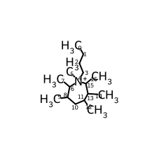 CCCC[N+]1(C)C(C)C(C)CC(C)C(C)C1C